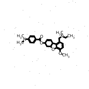 CCN(C)Cc1ccc(OC)c2c1C1C=CC(OC(=O)c3ccc(N(C)C)cc3)CC1O2